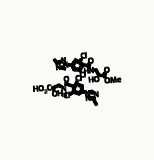 COC(=O)C(O)CNC(=O)c1c(Cl)cc(-n2cnc(C)n2)cc1Cl.Cc1ncn(-c2cc(Cl)c(C(=O)NCC(O)C(=O)O)c(Cl)c2)n1